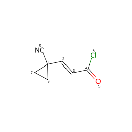 N#CC1(C=CC(=O)Cl)CC1